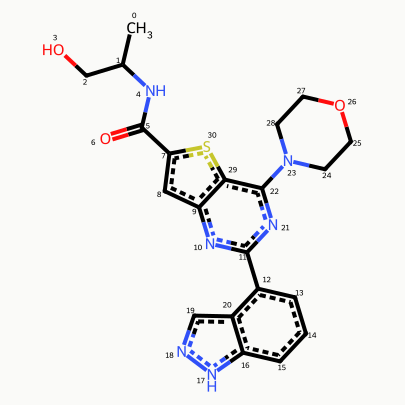 CC(CO)NC(=O)c1cc2nc(-c3cccc4[nH]ncc34)nc(N3CCOCC3)c2s1